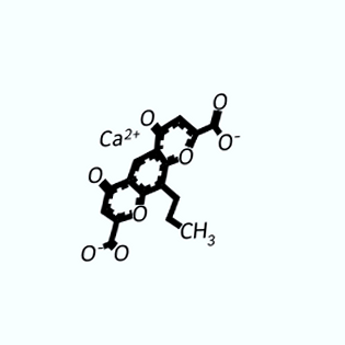 CCCc1c2oc(C(=O)[O-])cc(=O)c2cc2c(=O)cc(C(=O)[O-])oc12.[Ca+2]